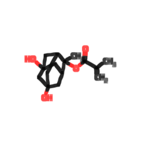 C=C(C)C(=O)OC1(C)C2CC3(O)CC1CC(O)(C2)C3